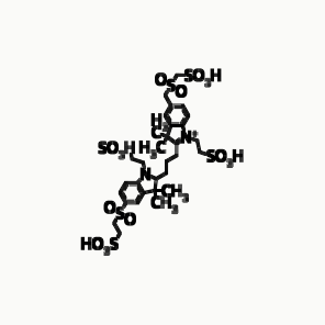 CC1(C)C(CCCC2N(CCS(=O)(=O)O)c3ccc(S(=O)(=O)CCS(=O)(=O)O)cc3C2(C)C)=[N+](CCS(=O)(=O)O)c2ccc(CS(=O)(=O)CS(=O)(=O)O)cc21